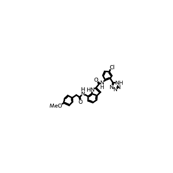 COc1ccc(CC(=O)Nc2cccc3cc(C(=O)Nc4ccc(Cl)cc4-c4nnn[nH]4)[nH]c23)cc1